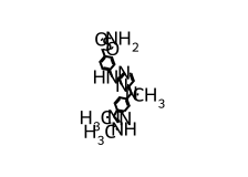 CNc1nc2cc(N(C)c3ccnc(Nc4ccc(CS(N)(=O)=O)cc4)n3)ccc2n1C